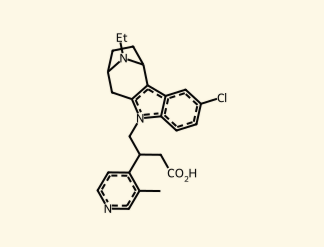 CCN1C2CCC1c1c(n(CC(CC(=O)O)c3ccncc3C)c3ccc(Cl)cc13)C2